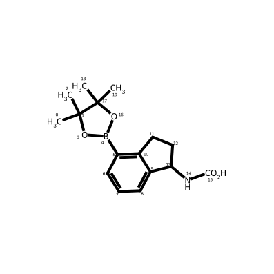 CC1(C)OB(c2cccc3c2CCC3NC(=O)O)OC1(C)C